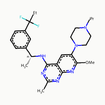 CCC(F)(F)c1cccc([C@@H](C)Nc2nc(C)nc3nc(OC)c(N4CCN(C(C)C)CC4)cc23)c1